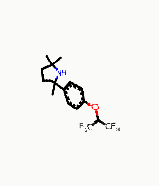 CC1(C)CCC(C)(c2ccc(OC(C(F)(F)F)C(F)(F)F)cc2)N1